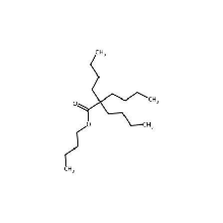 CCCCOC(=O)C(CCCC)(CCCC)CCCC